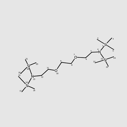 C[Si](C)(C)N(CCOCCOCCN([Si](C)(C)C)[Si](C)(C)C)[Si](C)(C)C